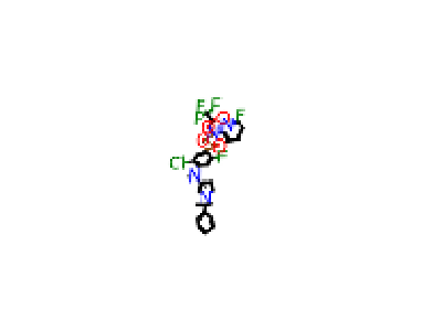 CN(c1cc(F)c(S(=O)(=O)N(OC(=O)C(F)(F)F)c2cccc(F)n2)cc1Cl)[C@H]1CCN(C(C)(C)c2ccccc2)C1